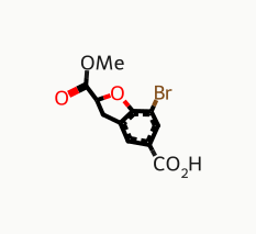 COC(=O)C1Cc2cc(C(=O)O)cc(Br)c2O1